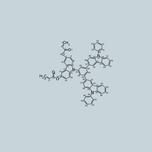 C=CC(=O)Oc1ccc2c(c1)c1cc(OC(=O)C=C)ccc1n2-c1cc(-c2ccc3c(c2)c2ccccc2n3-c2ccccc2)cc(-c2ccc3c(c2)c2ccccc2n3-c2ccccc2)c1